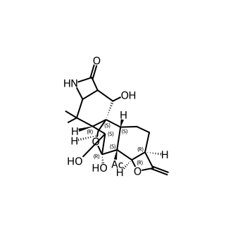 C=C1O[C@@H]2[C@H]1CC[C@H]1[C@@]34CO[C@@](O)([C@@H](O)[C@@H]3C(C)(C)C3NC(=O)C3C4O)[C@@]21C(C)=O